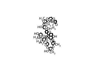 C[C@@H]1O[C@@H](O[C@H]2CC[C@H](OC3[C@H](C)O[C@@H](O[C@H]4[C@H](O)C[C@H](c5ccc6c(=O)c7c(oc6c5O)C=C[C@]5(O)C[C@@](C)(O[C@H]6CC[C@H](O[C@H]8C[C@@H](O[C@H]9CC[C@H](O[C@H]%10C[C@@H](O[C@H]%11CC[C@H](O)[C@H](C)O%11)[C@H](O)[C@@H](C)O%10)[C@H](C)O9)[C@H](O)[C@@H](C)O8)[C@H](C)O6)CC(=O)[C@]75O)O[C@@H]4C)C[C@@H]3O)O[C@H]2C)C=CC1=O